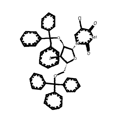 O=c1[nH]c(=O)n([C@@H]2O[C@H](COC(c3ccccc3)(c3ccccc3)c3ccccc3)[C@@H](I)[C@H]2OC(c2ccccc2)(c2ccccc2)c2ccccc2)cc1Cl